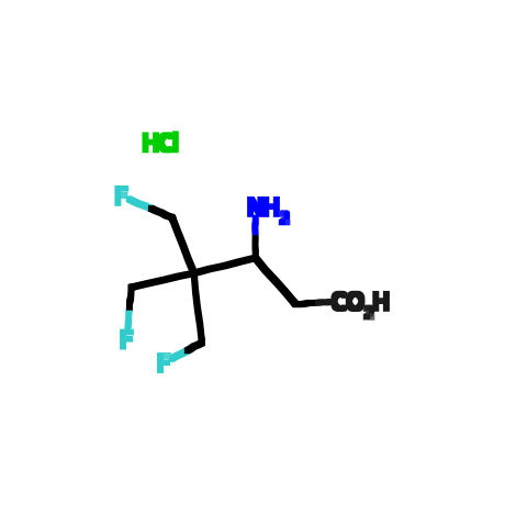 Cl.NC(CC(=O)O)C(CF)(CF)CF